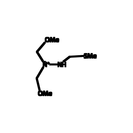 COC[N+](COC)NCSC